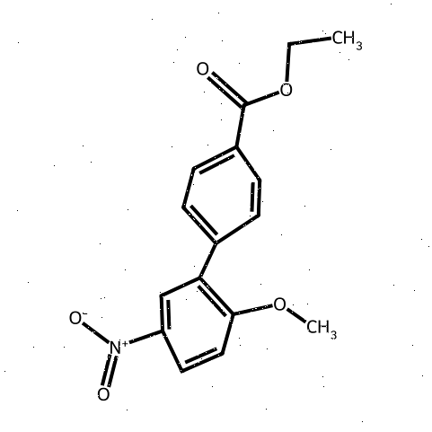 CCOC(=O)c1ccc(-c2cc([N+](=O)[O-])ccc2OC)cc1